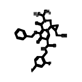 CC(C)N1C[C@]2(C[C@H]2CO)n2cc(C(=O)NCc3ccc(F)cc3F)c(=O)c(OCc3ccccc3)c2C1=O